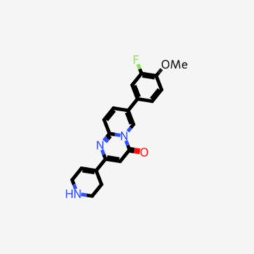 COc1ccc(-c2ccc3nc(C4=CCNCC4)cc(=O)n3c2)cc1F